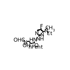 CCCCC[C@H](CN(O)C=O)C(=O)NNc1ncc(F)c(N(C)CC)n1